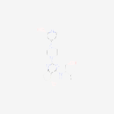 CC(C)C(CO)Nc1nc(N2CCN(c3ccnc(O)c3)CC2)nc2c1[S+]([O-])CC2